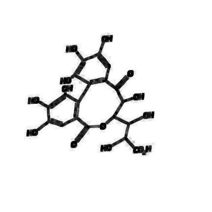 O=C1OC(C(O)C(O)C(=O)O)C(O)C(=O)c2cc(O)c(O)c(O)c2-c2c1cc(O)c(O)c2O